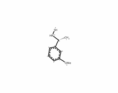 COc1cccc([C@@H](C)NS)c1